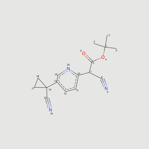 CC(C)(C)OC(=O)C(C#N)c1ccc(C2(C#N)CC2)cn1